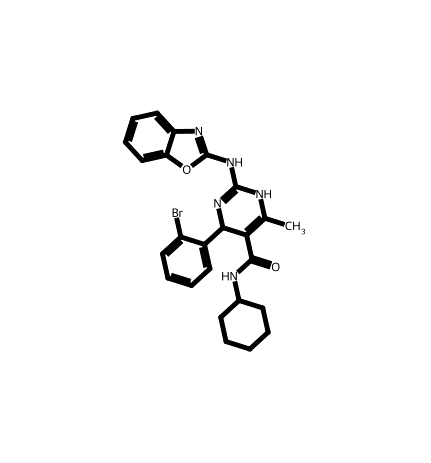 CC1=C(C(=O)NC2CCCCC2)C(c2ccccc2Br)N=C(Nc2nc3ccccc3o2)N1